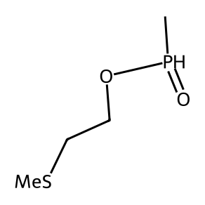 CSCCO[PH](C)=O